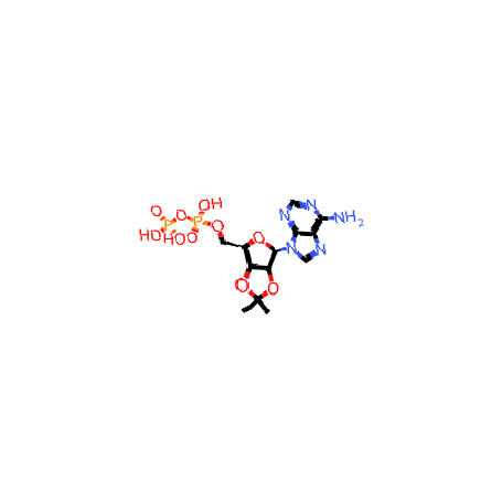 CC1(C)OC2C(O1)[C@@H](COP(=O)(O)OP(=O)(O)O)O[C@H]2n1cnc2c(N)ncnc21